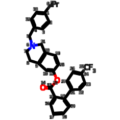 CC(C)c1ccc(CN2CCc3cc(OC(=O)c4ccccc4-c4ccc(C(F)(F)F)cc4)ccc3C2)cc1